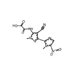 Cn1nc(-c2ncc([N+](=O)[O-])n2C)c(C#N)c1NC(=O)C(=O)O